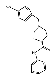 CC(C)COc1ccc(CN2CCN(C(=O)Nc3ccccc3)CC2)cc1